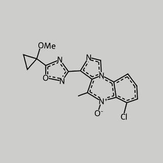 COC1(c2nc(-c3ncn4c3c(C)[n+]([O-])c3c(Cl)cccc34)no2)CC1